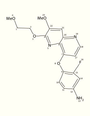 COCCOc1nc2c(Oc3ccc(N)cc3F)ccnc2cc1OC